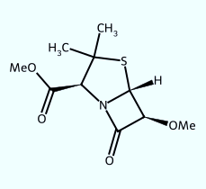 COC(=O)[C@@H]1N2C(=O)[C@H](OC)[C@H]2SC1(C)C